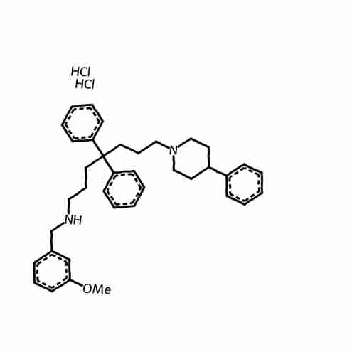 COc1cccc(CNCCCC(CCCN2CCC(c3ccccc3)CC2)(c2ccccc2)c2ccccc2)c1.Cl.Cl